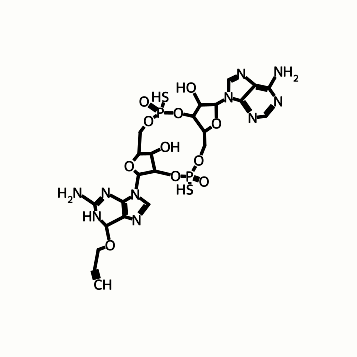 C#CCOC1NC(N)=Nc2c1ncn2C1OC2COP(=O)(S)OC3C(COP(=O)(S)OC1C2O)OC(n1cnc2c(N)ncnc21)C3O